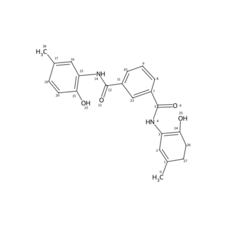 CC1=CC(NC(=O)c2cccc(C(=O)Nc3cc(C)ccc3O)c2)=C(O)CC1